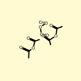 CC(=O)OC(C)=O.CC(=O)OC(C)=O.O=COC=O